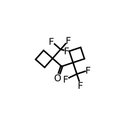 O=C(C1(C(F)(F)F)CCC1)C1(C(F)(F)F)CCC1